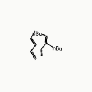 C=CC(=CCCCC)CCCC.C=CC=CC